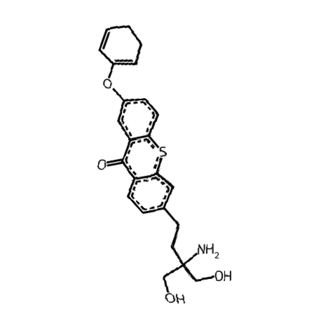 NC(CO)(CO)CCc1ccc2c(=O)c3cc(OC4=CCCC=C4)ccc3sc2c1